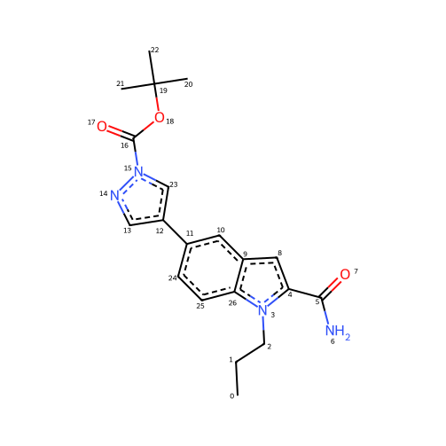 CCCn1c(C(N)=O)cc2cc(-c3cnn(C(=O)OC(C)(C)C)c3)ccc21